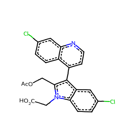 CC(=O)OCc1c(-c2ccnc3cc(Cl)ccc23)c2cc(Cl)ccc2n1CC(=O)O